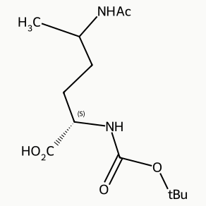 CC(=O)NC(C)CC[C@H](NC(=O)OC(C)(C)C)C(=O)O